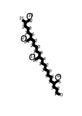 CCCCC(C=O)CCCCCCCCC(C=O)CCCCCC(C=O)CCCCC(C)C=O